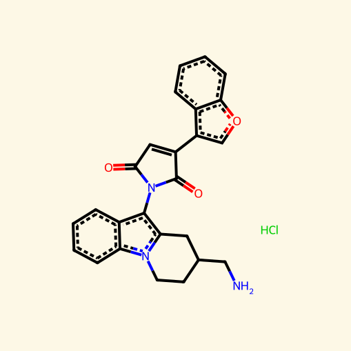 Cl.NCC1CCn2c(c(N3C(=O)C=C(c4coc5ccccc45)C3=O)c3ccccc32)C1